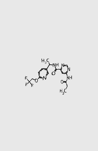 CCC(=O)Nc1cc(C(=O)NC(C)c2ccc(OCC(F)(F)F)nc2)ncn1